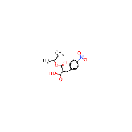 CCC(C)OC(=O)C(=Cc1ccc([N+](=O)[O-])cc1)C(=O)O